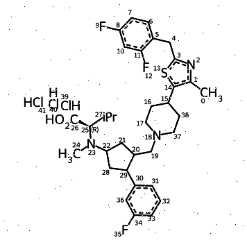 Cc1nc(Cc2ccc(F)cc2F)sc1C1CCN(CC2CC(N(C)[C@@H](C(=O)O)C(C)C)CC2c2cccc(F)c2)CC1.Cl.Cl.Cl